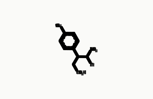 CCC(C(CC(=O)O)c1ccc(C(C)(C)C)cc1)[N+](=O)[O-]